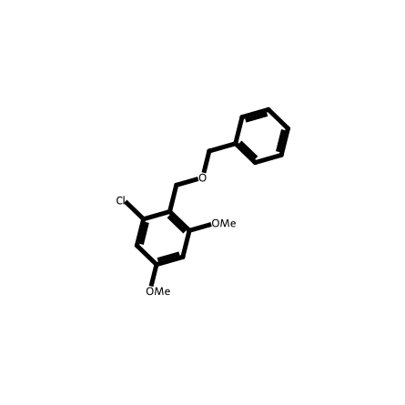 COc1cc(Cl)c(COCc2ccccc2)c(OC)c1